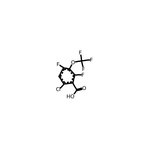 O=C(O)c1c(Cl)cc(F)c(OC(F)(F)F)c1F